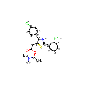 CCN(CC)C(C)OC(=O)Cc1sc(-c2ccccc2)nc1-c1ccc(Cl)cc1.Cl